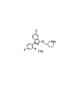 Cl.Fc1ccc(-n2nc(OCC3CCCNC3)c3cc(F)ccc32)c(F)c1